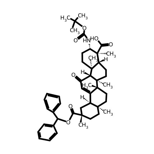 CC(C)(C)OC(=O)N[C@H]1CC[C@@]2(C)[C@@H](CC[C@]3(C)[C@@H]2C(=O)C=C2[C@@H]4C[C@@](C)(C(=O)OC(c5ccccc5)c5ccccc5)CC[C@]4(C)CC[C@]23C)[C@]1(C)C(=O)O